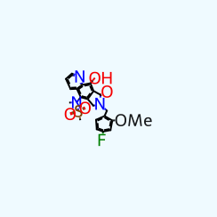 COc1cc(F)ccc1CN1Cc2c(c(O)c3ncccc3c2N(C)S(C)(=O)=O)C1=O